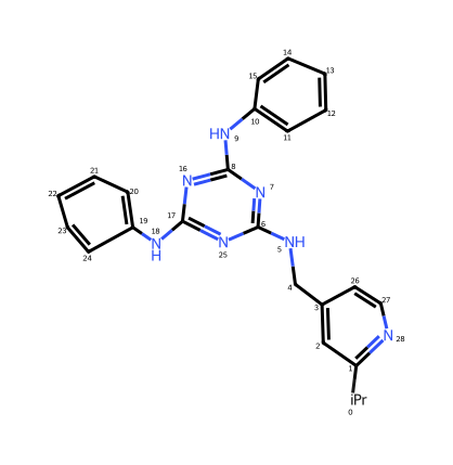 CC(C)c1cc(CNc2nc(Nc3ccccc3)nc(Nc3ccccc3)n2)ccn1